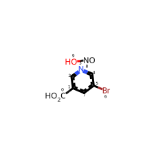 O=C(O)c1cncc(Br)c1.O=NO